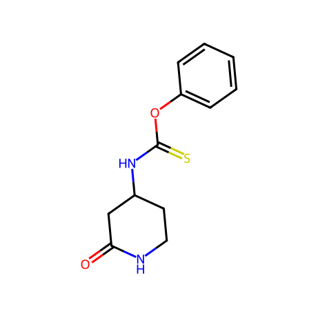 O=C1CC(NC(=S)Oc2ccccc2)CCN1